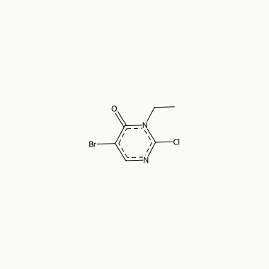 CCn1c(Cl)ncc(Br)c1=O